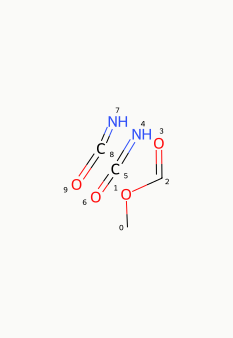 COC=O.N=C=O.N=C=O